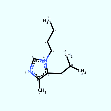 CCCCn1cnc(C)c1CC(C)C